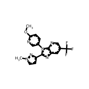 COc1ccc(-n2c(-c3ccn(C)n3)nc3cc(C(F)(F)F)cnc32)cn1